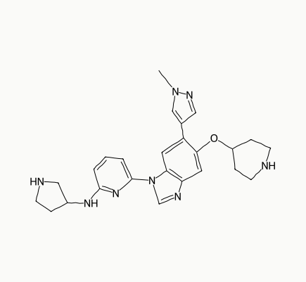 Cn1cc(-c2cc3c(cc2OC2CCNCC2)ncn3-c2cccc(NC3CCNC3)n2)cn1